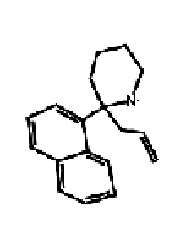 C=CCC1(c2cccc3ccccc23)CCCC[N]1